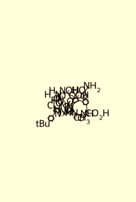 C[C@@H]1NC(=O)[C@@H](N(C)C(=O)[C@H](CNS(N)(=O)=O)NC(=O)c2c(Cl)cc(-c3ccc(C(C)(C)C)cc3)nc2N)c2cc(OC[C@H](O)CN)c(O)c(c2)-c2cc(ccc2OC[C@H](O)CN)C[C@@H](C(=O)O)NC1=O